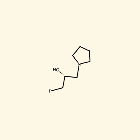 O[C@@H](CF)CN1CCCC1